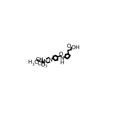 CC(C)(C)OC(=O)N1CCN(c2ccc(C(=O)Nc3cccc(CCC(=O)O)c3)cc2)CC1